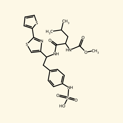 COC(=O)NC(CC(C)C)C(=O)NC(Cc1ccc(NS(=O)(=O)O)cc1)c1csc(-c2cccs2)n1